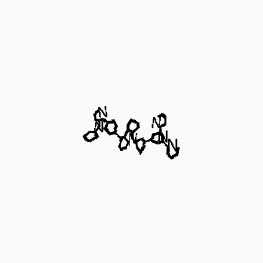 c1ccc(-n2c3cc(-c4cccc5c4c4ccccc4n5-c4cccc(-c5cc(-c6ccccn6)nc(-c6ccccn6)c5)c4)ccc3c3ncccc32)cc1